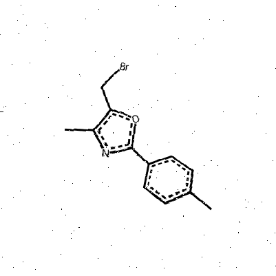 Cc1ccc(-c2nc(C)c(CBr)o2)cc1